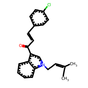 CC(C)=CCn1cc(C(=O)C=Cc2ccc(Cl)cc2)c2ccccc21